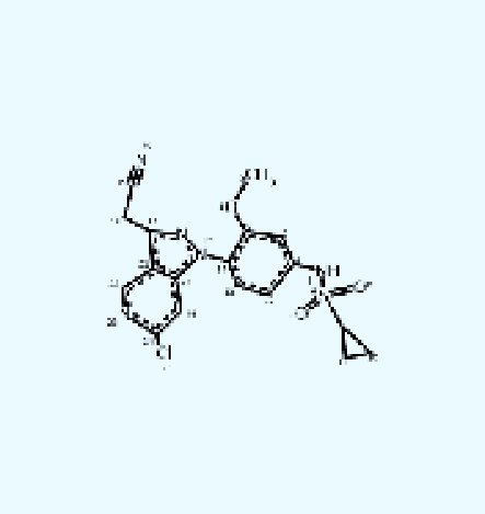 COc1cc(NS(=O)(=O)C2CC2)ccc1-n1nc(CC#N)c2cnc(Cl)cc21